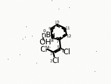 CCCCO.ClC(Cl)=C(Cl)c1ccccc1